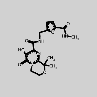 CNC(=O)c1ccc(CNC(=O)c2nc3n(c(=O)c2O)CCOC3(C)C)o1